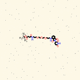 CC(C)(C)OC(=O)CCC(=O)NCCCOCCOCCOCCCNc1cccc2c1C(=O)N(C1CCC(=O)NC1=O)C2=O